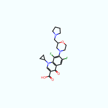 O=C(O)c1cn(C2CC2)c2c(F)c(N3CCOC(CN4CCCC4)C3)c(F)cc2c1=O